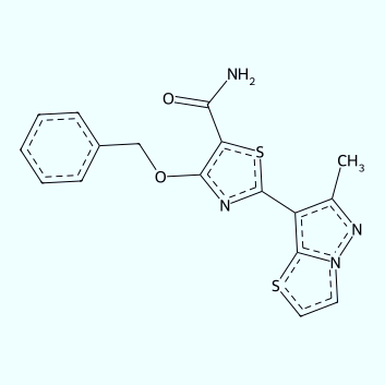 Cc1nn2ccsc2c1-c1nc(OCc2ccccc2)c(C(N)=O)s1